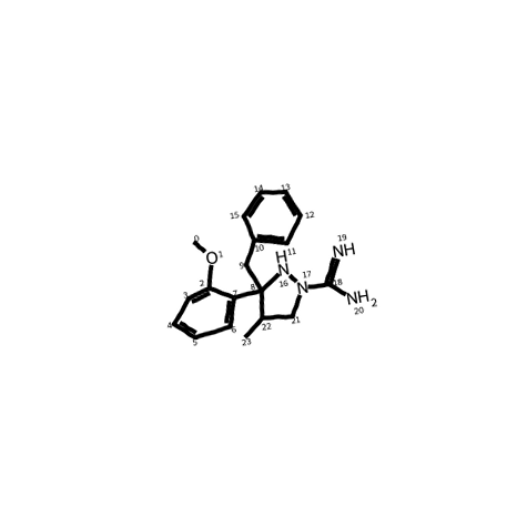 COc1ccccc1C1(Cc2ccccc2)NN(C(=N)N)CC1C